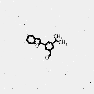 CC(C)c1cc(C=O)cc(-c2cc3ccccc3o2)c1